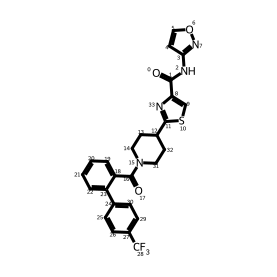 O=C(Nc1ccon1)c1csc(C2CCN(C(=O)c3ccccc3-c3ccc(C(F)(F)F)cc3)CC2)n1